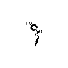 O=C(OCC#CI)N1CCC(O)CC1